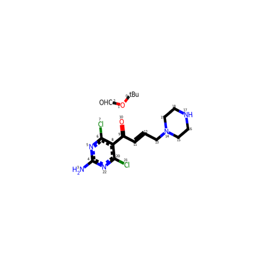 CC(C)(C)OC=O.Nc1nc(Cl)c(C(=O)C=CCN2CCNCC2)c(Cl)n1